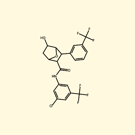 O=C(Nc1cc(Cl)cc(C(F)(F)F)c1)C1C2CC(O)C(O2)C1c1cccc(C(F)(F)F)c1